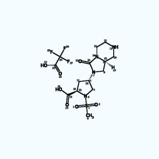 CS(=O)(=O)N1C[C@@H](N2C[C@@H]3CNCCN3C2=O)C[C@@H]1C(=O)O.O=C(O)C(F)(F)F